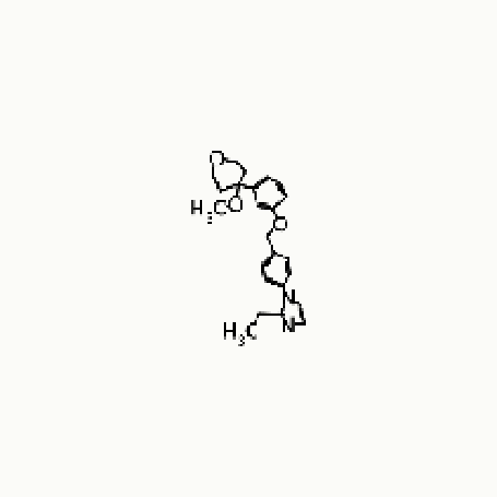 CCc1nccn1-c1ccc(COc2cccc(C3(OC)CCOCC3)c2)cc1